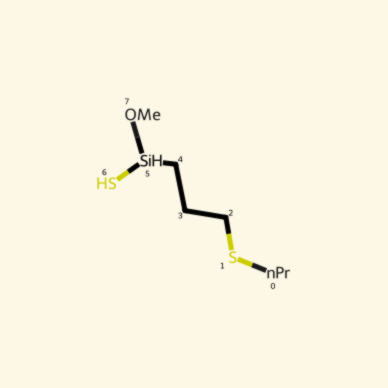 CCCSCCC[SiH](S)OC